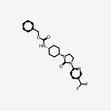 O=C(N[C@H]1CC[C@H](N2CCN(c3ccc(C(F)F)cn3)C2=O)CC1)OCc1ccccc1